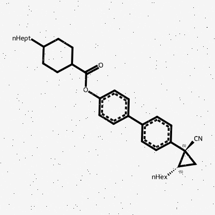 CCCCCCCC1CCC(C(=O)Oc2ccc(-c3ccc([C@]4(C#N)C[C@@H]4CCCCCC)cc3)cc2)CC1